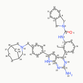 Cc1c(NC(=O)N2Cc3ccccc3C2)cccc1-c1nc(N)nc2[nH]c(-c3ccc(CN4CC5CCCC(CC5)C4)cc3)cc12